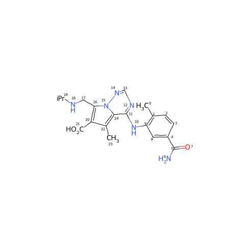 Cc1ccc(C(N)=O)cc1Nc1ncnn2c(CNC(C)C)c(C(=O)O)c(C)c12